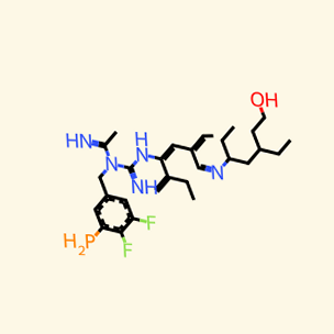 C=C(CC)\C(=C/C(/C=N\C(CC)CC(CC)CCO)=C/C)NC(=N)N(Cc1cc(F)c(F)c(P)c1)C(C)=N